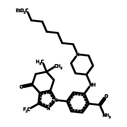 CCOC(=O)CCCCCCN1CCC(Nc2cc(-n3nc(C(F)(F)F)c4c3CC(C)(C)CC4=O)ccc2C(N)=O)CC1